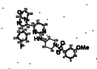 COc1cccc(S(=O)(=O)N2CCC(Nc3nccc(-c4c(-c5ccc(F)cc5)nc5occn45)n3)CC2)c1